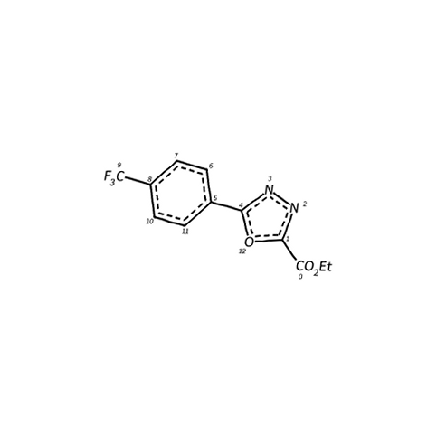 CCOC(=O)c1nnc(-c2ccc(C(F)(F)F)cc2)o1